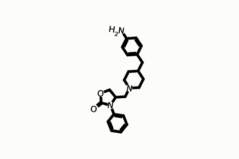 Nc1ccc(CC2CCN(CC3COC(=O)N3c3ccccc3)CC2)cc1